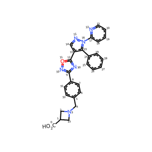 O=C(O)C1CN(Cc2ccc(-c3noc(-c4cnn(-c5ccccn5)c4-c4ccccc4)n3)cc2)C1